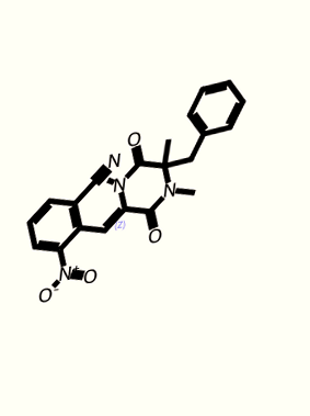 CN1C(=O)C(C)(Cc2ccccc2)N(C)C(=O)/C1=C/c1c(C#N)cccc1[N+](=O)[O-]